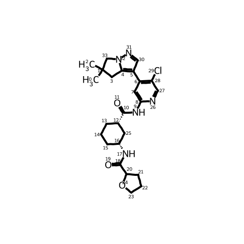 CC1(C)Cc2c(-c3cc(NC(=O)[C@H]4CCC[C@@H](NC(=O)C5CCCO5)C4)ncc3Cl)cnn2C1